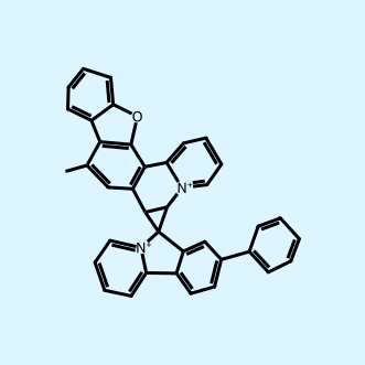 Cc1cc2c(c3oc4ccccc4c13)-c1cccc[n+]1C1C2C12c1cc(-c3ccccc3)ccc1-c1cccc[n+]12